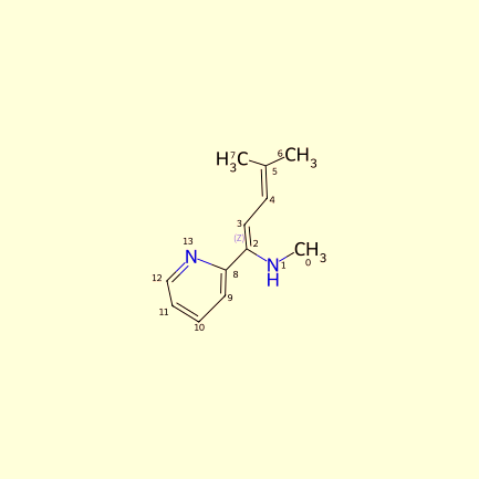 CN/C(=C\C=C(C)C)c1ccccn1